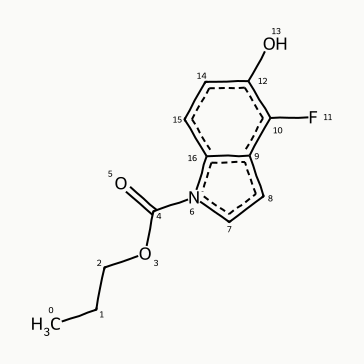 CCCOC(=O)n1ccc2c(F)c(O)ccc21